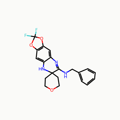 FC1(F)Oc2cc3c(cc2O1)NC1(CCOCC1)C(NCc1ccccc1)=N3